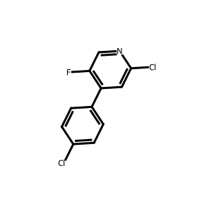 Fc1cnc(Cl)cc1-c1ccc(Cl)cc1